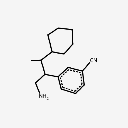 CC(C1CCCCC1)C(CN)c1cccc(C#N)c1